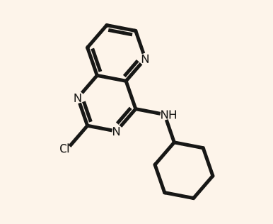 Clc1nc(NC2CCCCC2)c2ncccc2n1